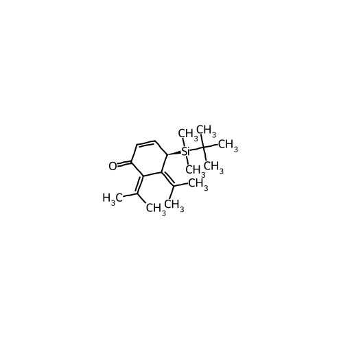 CC(C)=C1C(=O)C=C[C@@H]([Si](C)(C)C(C)(C)C)C1=C(C)C